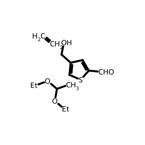 C=C.CCOC(C)OCC.O=Cc1cc(CO)cs1